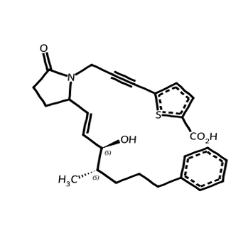 C[C@@H](CCCc1ccccc1)[C@H](O)C=CC1CCC(=O)N1CC#Cc1ccc(C(=O)O)s1